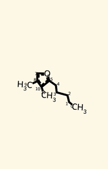 CCCCCc1occ(C)c1C